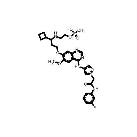 COc1cc2c(Nc3cnn(CC(=O)Nc4cccc(F)c4)c3)ncnc2cc1OCCC(NCCOP(=O)(O)O)C1CCC1